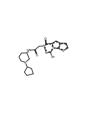 CC(C)c1nn(CC(=O)N[C@@H]2CCCN(C3CCCC3)C2)c(=O)c2cc3ccsc3n12